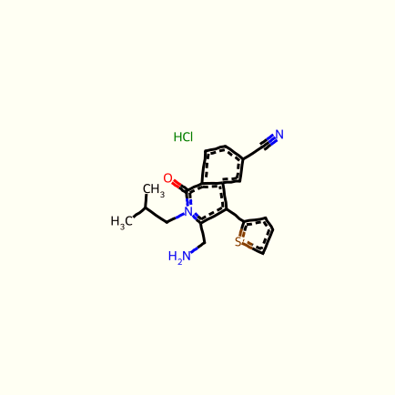 CC(C)Cn1c(CN)c(-c2cccs2)c2cc(C#N)ccc2c1=O.Cl